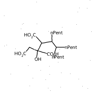 CCCCCC(CCCCC)C(CCCCC)C(C(=O)O)C(O)(CC(=O)O)C(=O)O